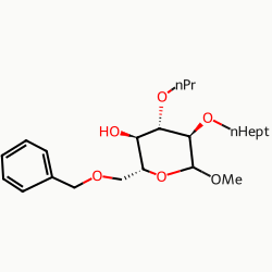 CCCCCCCO[C@H]1C(OC)O[C@H](COCc2ccccc2)[C@@H](O)[C@@H]1OCCC